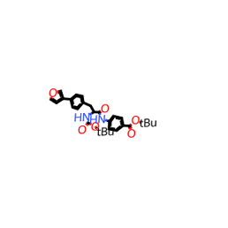 CC(C)(C)OC(=O)NC(Cc1ccc(-c2ccoc2)cc1)C(=O)Nc1ccc(C(=O)OC(C)(C)C)cc1